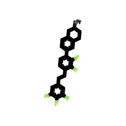 CCCC1CCc2cc(-c3ccc(CCc4cc(F)c(F)c(F)c4)c(F)c3F)ccc2C1